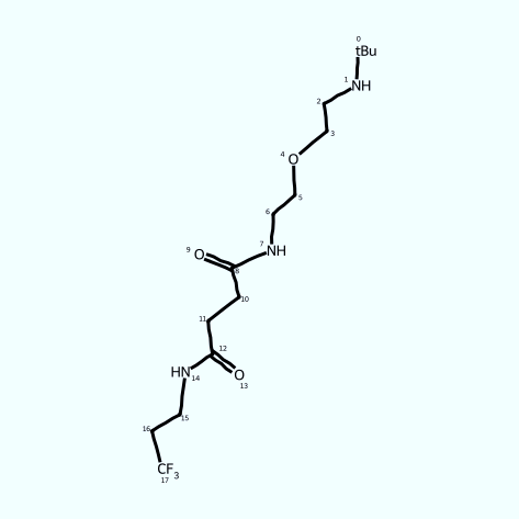 CC(C)(C)NCCOCCNC(=O)CCC(=O)NCCC(F)(F)F